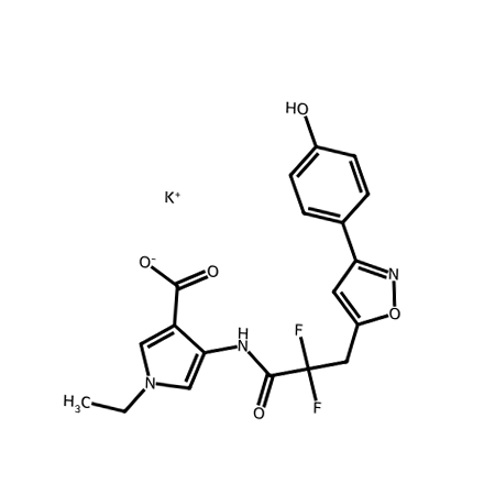 CCn1cc(NC(=O)C(F)(F)Cc2cc(-c3ccc(O)cc3)no2)c(C(=O)[O-])c1.[K+]